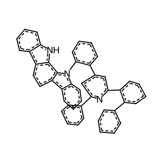 c1ccc(-c2cc(-c3ccccc3-n3c4ccccc4c4ccc5c6ccccc6[nH]c5c43)cc(-c3ccccc3-c3ccccc3)n2)cc1